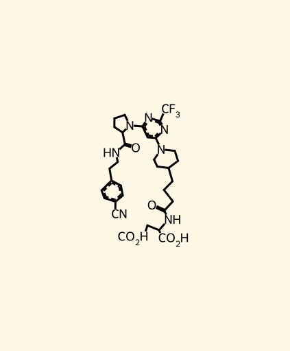 N#Cc1ccc(CCNC(=O)C2CCCN2c2cc(N3CCC(CCCC(=O)NC(CC(=O)O)C(=O)O)CC3)nc(C(F)(F)F)n2)cc1